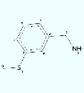 CSc1cccc(C[NH])c1